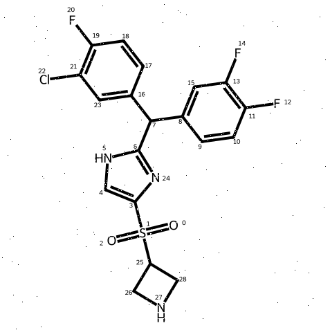 O=S(=O)(c1c[nH]c(C(c2ccc(F)c(F)c2)c2ccc(F)c(Cl)c2)n1)C1CNC1